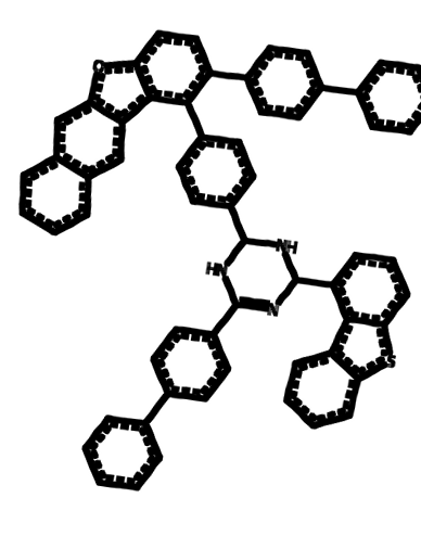 c1ccc(-c2ccc(C3=NC(c4cccc5sc6ccccc6c45)NC(c4ccc(-c5c(-c6ccc(-c7ccccc7)cc6)ccc6oc7cc8ccccc8cc7c56)cc4)N3)cc2)cc1